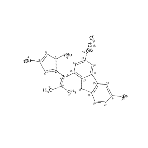 CCCCC1C=C(C(C)(C)C)C=[C]1[Zr+2](=[C](C)C)[c]1cc(C(C)(C)C)cc2c1Cc1ccc(C(C)(C)C)cc1-2.[Cl-].[Cl-]